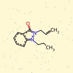 C=CCn1c(=O)c2ccccc2n1CCC